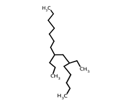 CCCCCCCC(CCC)CC(CC)CCCCC